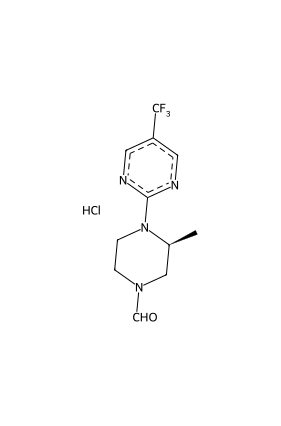 C[C@H]1CN(C=O)CCN1c1ncc(C(F)(F)F)cn1.Cl